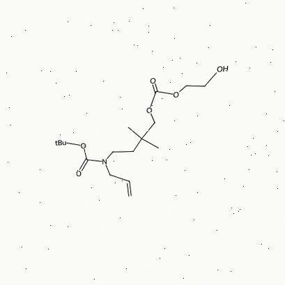 C=CCN(CCC(C)(C)COC(=O)OCCO)C(=O)OC(C)(C)C